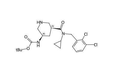 CC(C)(C)OC(=O)N[C@H]1CNC[C@@H](C(=O)N(Cc2cccc(Cl)c2Cl)C2CC2)C1